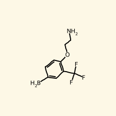 Bc1ccc(OCCN)c(C(F)(F)F)c1